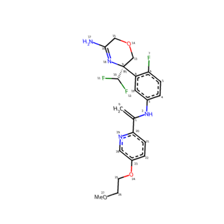 C=C(Nc1ccc(F)c([C@]2(C(F)F)COCC(N)=N2)c1)c1ccc(OCCOC)cn1